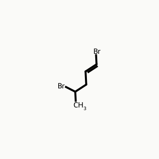 CC(Br)CC=CBr